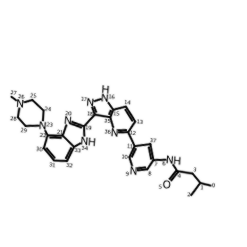 CC(C)CC(=O)Nc1cncc(-c2ccc3[nH]nc(-c4nc5c(N6CCN(C)CC6)cccc5[nH]4)c3n2)c1